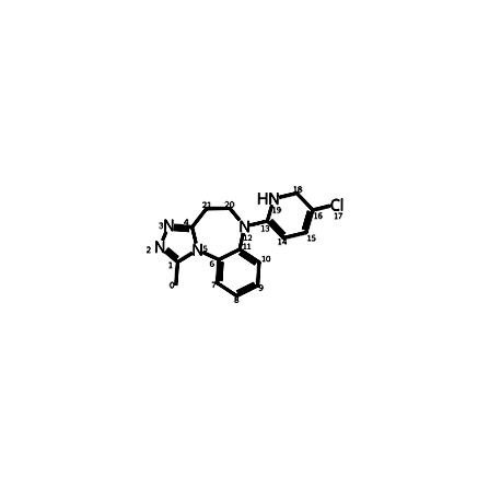 Cc1nnc2n1-c1ccccc1N(C1=CC=C(Cl)CN1)CC2